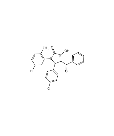 Cc1ccc(Cl)cc1N1C(=O)C(O)=C(C(=O)c2ccccc2)C1c1ccc(Cl)cc1